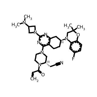 C=CC(=O)N1CCN(c2nc(N3CC(N(C)C)C3)nc3c2CC[C@H](N2CC(C)(C)Oc4ccc(F)cc42)C3)C[C@@H]1CC#N